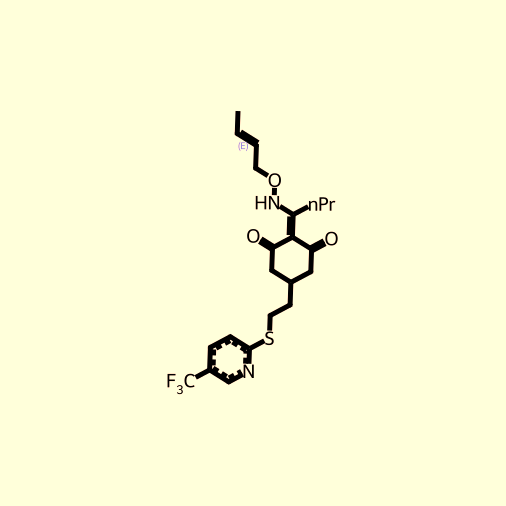 C/C=C/CONC(CCC)=C1C(=O)CC(CCSc2ccc(C(F)(F)F)cn2)CC1=O